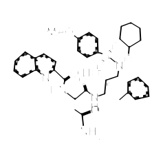 COc1ccc(S(=O)(=O)N(C[C@@H](O)[C@H](Cc2ccccc2)NC(=O)[C@H](CC(N)=O)NC(=O)c2ccc3ccccc3n2)OC2CCCCC2)cc1